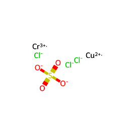 O=S(=O)([O-])[O-].[Cl-].[Cl-].[Cl-].[Cr+3].[Cu+2]